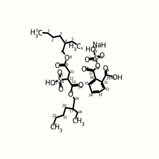 CCCCC(CC)COC(=O)CC(C(=O)OCC(CC)CCCC)S(=O)(=O)O.O=C(O)c1ccccc1C(=O)OS(=O)(=O)O.[NaH]